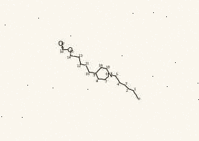 CCCCCCN1CCC(CCCCCO[C]=O)CC1